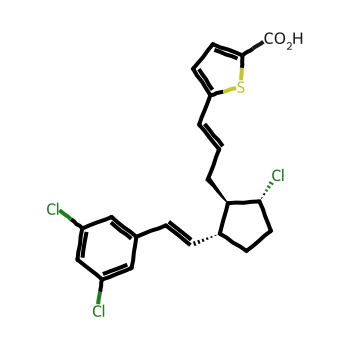 O=C(O)c1ccc(/C=C/C[C@H]2[C@H](Cl)CC[C@@H]2/C=C/c2cc(Cl)cc(Cl)c2)s1